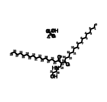 CCCCCCCCCCCCCCCC(=O)C(CNCCO)C(=O)CCCCCCCCCCCCCCC.CS(=O)(=O)O